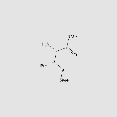 CNC(=O)[C@@H](N)[C@H](SSC)C(C)C